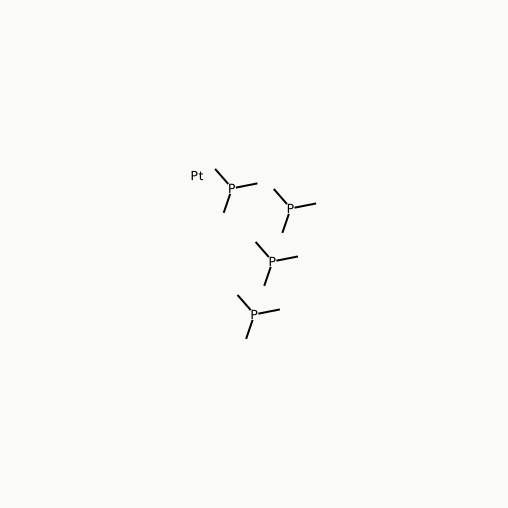 CP(C)C.CP(C)C.CP(C)C.CP(C)C.[Pt]